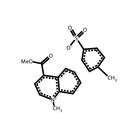 COC(=O)c1cc[n+](C)c2ccccc12.Cc1ccc(S(=O)(=O)[O-])cc1